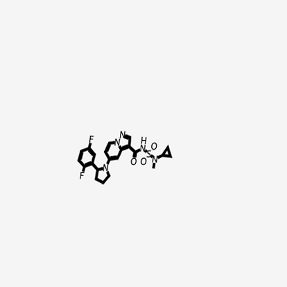 CN(C1CC1)S(=O)(=O)NC(=O)c1cnn2ccc(N3CCCC3c3cc(F)ccc3F)cc12